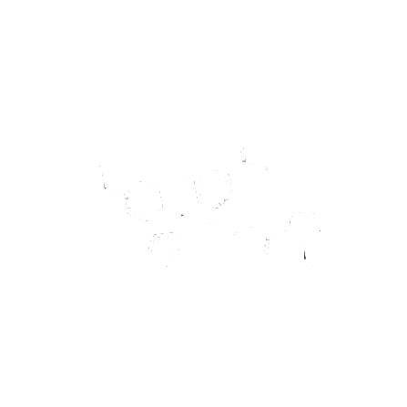 C[C@@H](CC1(c2nn[nH]n2)c2ccc(C(N)=O)cc2Cc2cc(C(N)=O)ccc21)NCC(=O)N1CCC[C@H]1C#N